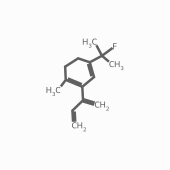 C=CC(=C)C1=C(C)CCC(C(C)(C)F)=C1